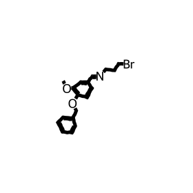 COc1cc(C=NCCCBr)ccc1OCc1ccccc1